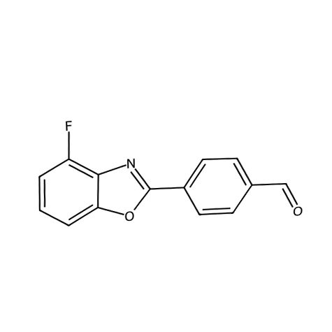 O=Cc1ccc(-c2nc3c(F)cccc3o2)cc1